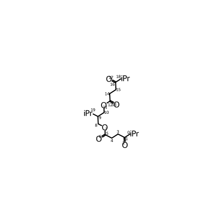 CC(C)C(=O)CCC(=O)OCC(COC(=O)CCC(=O)C(C)C)C(C)C